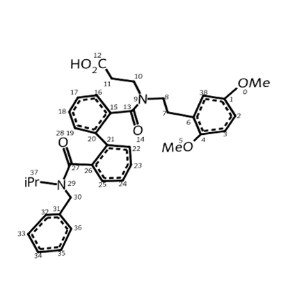 COc1ccc(OC)c(CCN(CCC(=O)O)C(=O)c2ccccc2-c2ccccc2C(=O)N(Cc2ccccc2)C(C)C)c1